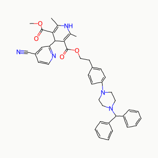 COC(=O)C1=C(C)NC(C)=C(C(=O)OCCc2ccc(N3CCN(C(c4ccccc4)c4ccccc4)CC3)cc2)C1c1cc(C#N)ccn1